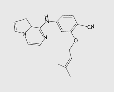 CC(C)=CCOc1cc(NC2=NC=CN3C=CCC23)ccc1C#N